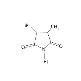 CCN1C(=O)C(C)C(C(C)C)C1=O